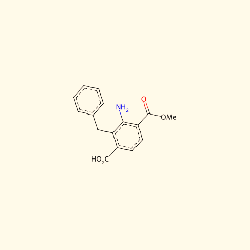 COC(=O)c1ccc(C(=O)O)c(Cc2ccccc2)c1N